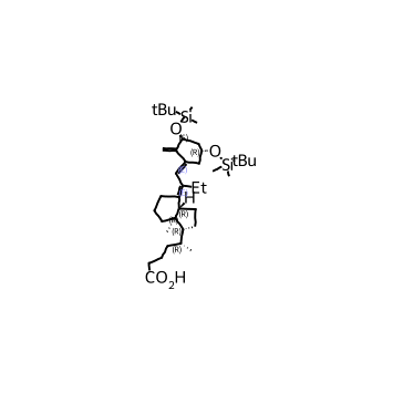 C=C1/C(=C/C(CC)=C2\CCC[C@]3(C)[C@@H]([C@H](C)CCCC(=O)O)CC[C@@H]23)C[C@@H](O[Si](C)(C)C(C)(C)C)C[C@@H]1O[Si](C)(C)C(C)(C)C